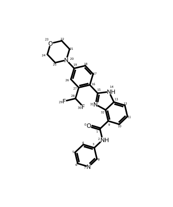 O=C(Nc1cccnc1)c1cccc2[nH]c(-c3ccc(N4CCOCC4)cc3C(F)F)nc12